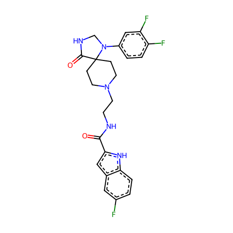 O=C(NCCN1CCC2(CC1)C(=O)NCN2c1ccc(F)c(F)c1)c1cc2cc(F)ccc2[nH]1